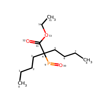 CCCCC(CCCC)(P=O)C(=O)OCC